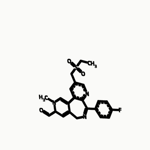 CCS(=O)(=O)Cc1cnc2c(c1)C1=CN(C)C(C=O)C=C1CN=C2c1ccc(F)cc1